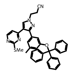 CSc1nccc(-c2cn(CCC#N)nc2-c2cc(C)cc(OC(c3ccccc3)(c3ccccc3)c3ccccc3)c2)n1